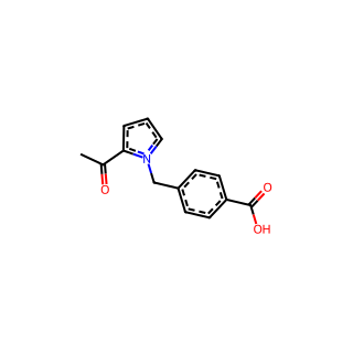 CC(=O)c1cccn1Cc1ccc(C(=O)O)cc1